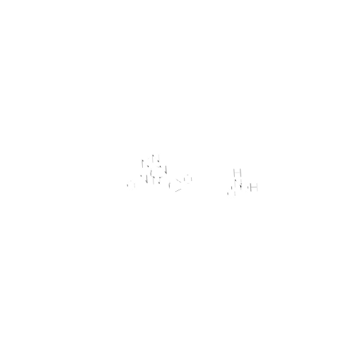 CC(C)n1cnc2c(N3CCOCC3)nc(-c3cccc(OCCCCCCC(=O)NO)c3)nc21